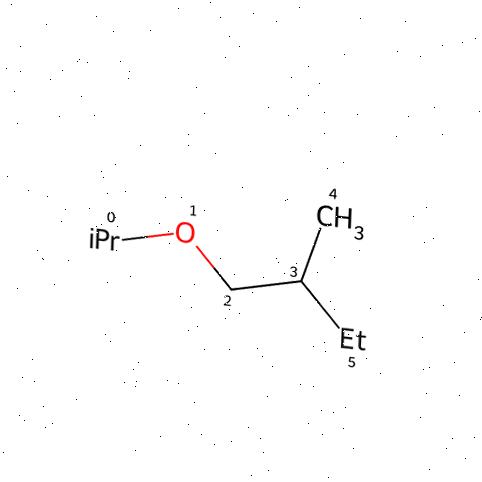 [CH2]C(C)OCC(C)CC